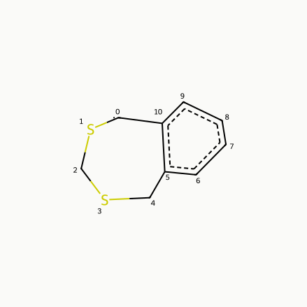 [CH]1SCSCc2ccccc21